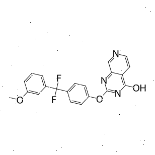 COc1cccc(C(F)(F)c2ccc(Oc3nc(O)c4ccncc4n3)cc2)c1